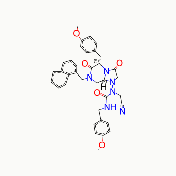 COc1ccc(CNC(=O)N(CC#N)N2CC(=O)N3[C@@H](Cc4ccc(OC)cc4)C(=O)N(Cc4cccc5ccccc45)C[C@@H]32)cc1